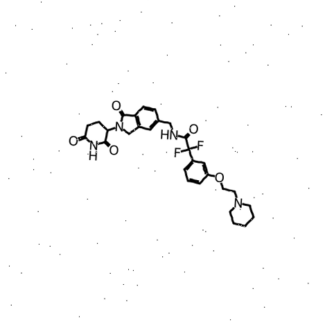 O=C1CCC(N2Cc3cc(CNC(=O)C(F)(F)c4cccc(OCCN5CCCCC5)c4)ccc3C2=O)C(=O)N1